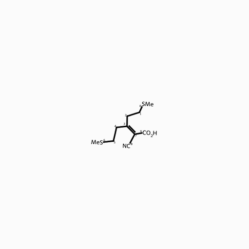 CSCCC(CCSC)=C(C#N)C(=O)O